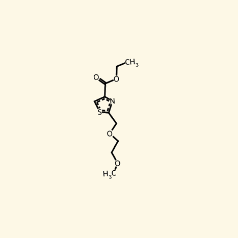 CCOC(=O)c1csc(COCCOC)n1